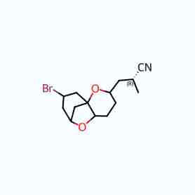 C[C@@H](C#N)CC1CCC2OC3CC(Br)CC2(C3)O1